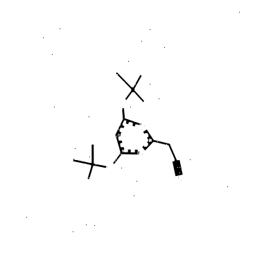 CC(C)(C)Oc1cc(OC(C)(C)C)nc(CC#N)n1